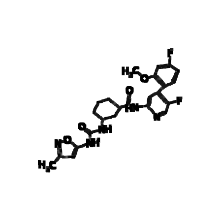 COc1cc(F)ccc1-c1cc(NC(=O)C2CCCC(NC(=O)Nc3cc(C)no3)C2)ncc1F